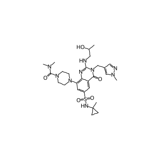 CC(O)CNc1nc2c(N3CCN(C(=O)N(C)C)CC3)cc(S(=O)(=O)NC3(C)CC3)cc2c(=O)n1Cc1cnn(C)c1